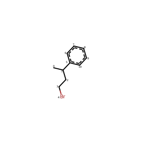 CC(CCBr)c1ccccc1